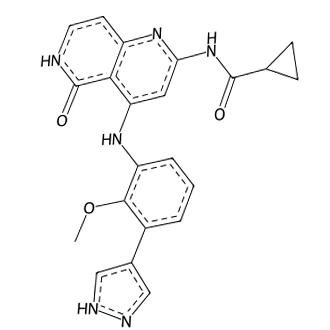 COc1c(Nc2cc(NC(=O)C3CC3)nc3cc[nH]c(=O)c23)cccc1-c1cn[nH]c1